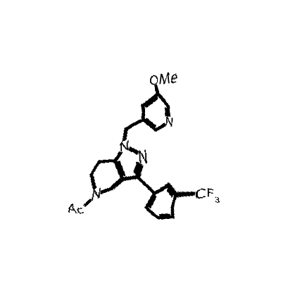 COc1cncc(Cn2nc(-c3cccc(C(F)(F)F)c3)c3c2CCN(C(C)=O)C3)c1